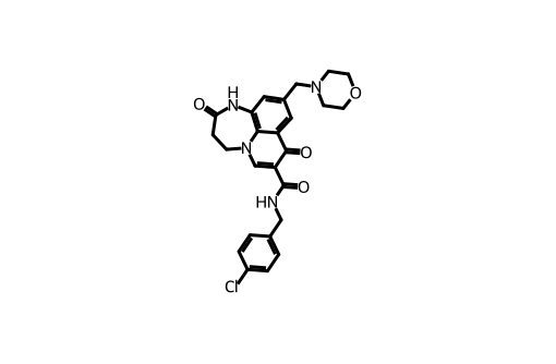 O=C1CCn2cc(C(=O)NCc3ccc(Cl)cc3)c(=O)c3cc(CN4CCOCC4)cc(c32)N1